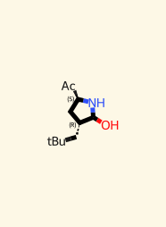 CC(=O)[C@@H]1C[C@@H](CC(C)(C)C)C(O)N1